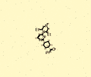 CCC1CN(C)CC(CC)N1c1ccnc([C@H]2CC[C@@H](C(=O)C(C)C)CC2)n1